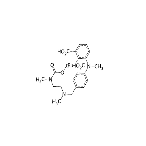 CN(CCN(C)C(=O)OC(C)(C)C)Cc1ccc(N(C)c2cccc(C(=O)O)c2C(=O)O)cc1